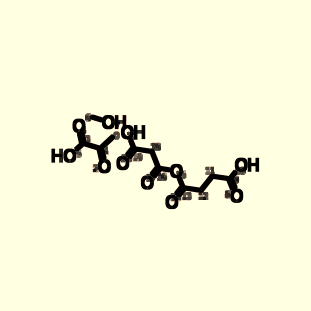 CC(=O)C(=O)O.CO.O=C(O)CCC(=O)OC(=O)CC(=O)O